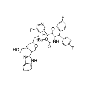 CC(C)(C)OC(=O)NC(C(=O)Nc1cncc(F)c1CCC1CN(C(=O)O)C(c2nc3ccccc3[nH]2)CO1)C(c1ccc(F)cc1)c1ccc(F)cc1